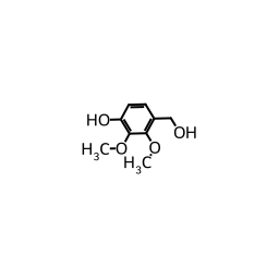 COc1c(O)ccc(CO)c1OC